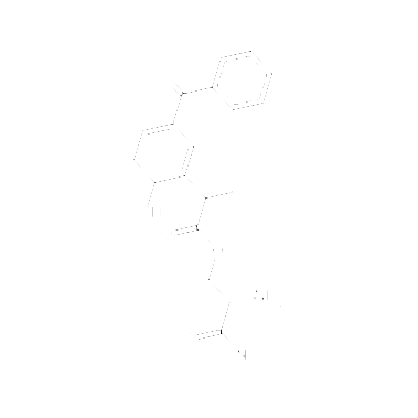 CC1CC=C(C(=O)c2ccccc2)C=C1C(C)C(=O)OC[C@H](N)C(N)=O